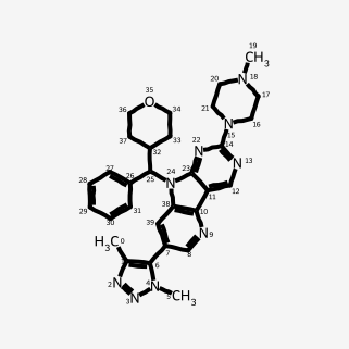 Cc1nnn(C)c1-c1cnc2c3cnc(N4CCN(C)CC4)nc3n(C(c3ccccc3)C3CCOCC3)c2c1